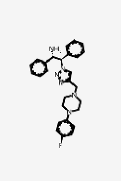 N[C@@H](c1ccccc1)[C@@H](c1ccccc1)n1cc(CN2CCN(c3ccc(F)cc3)CC2)nn1